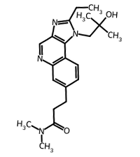 CCc1nc2cnc3cc(CCC(=O)N(C)C)ccc3c2n1CC(C)(C)O